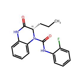 CCC[C@H]1C(=O)Nc2ccccc2N1C(=O)Nc1ccccc1F